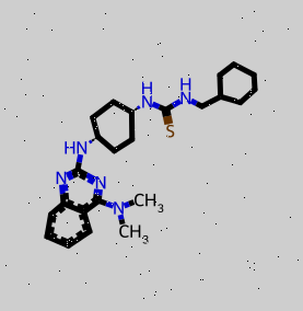 CN(C)c1nc(N[C@H]2CC[C@@H](NC(=S)NCC3CCCCC3)CC2)nc2ccccc12